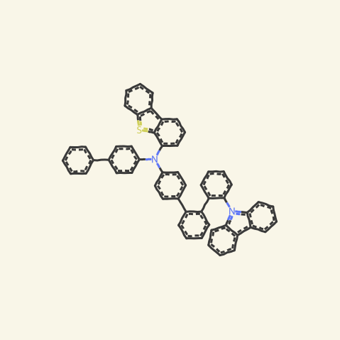 c1ccc(-c2ccc(N(c3ccc(-c4ccccc4-c4ccccc4-n4c5ccccc5c5ccccc54)cc3)c3cccc4c3sc3ccccc34)cc2)cc1